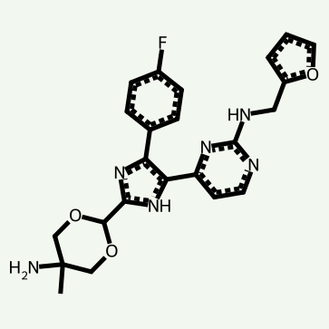 CC1(N)COC(c2nc(-c3ccc(F)cc3)c(-c3ccnc(NCc4ccco4)n3)[nH]2)OC1